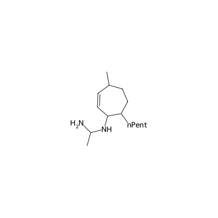 CCCCCC1CCC(C)C=CC1NC(C)N